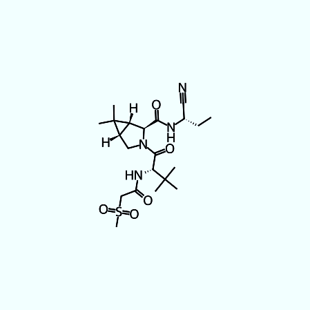 CC[C@@H](C#N)NC(=O)[C@@H]1[C@@H]2[C@H](CN1C(=O)[C@@H](NC(=O)CS(C)(=O)=O)C(C)(C)C)C2(C)C